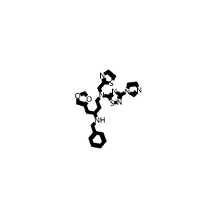 C1=C(CC(CCN(Cc2nccs2)c2nc(-n3ccnc3)ns2)NCc2ccccc2)OCO1